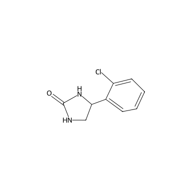 O=C1NCC(c2ccccc2Cl)N1